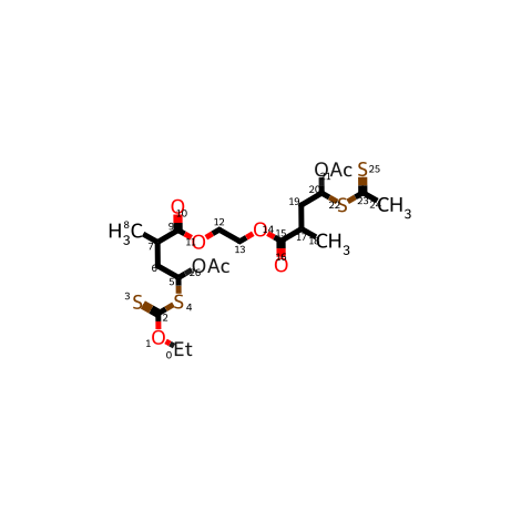 CCOC(=S)SC(CC(C)C(=O)OCCOC(=O)C(C)CC(OC(C)=O)SC(C)=S)OC(C)=O